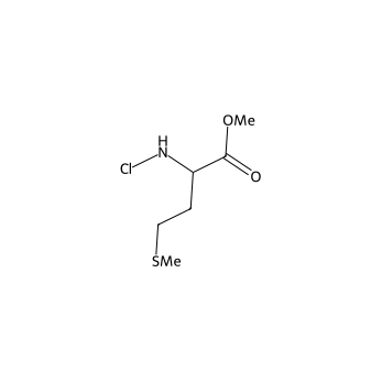 COC(=O)C(CCSC)NCl